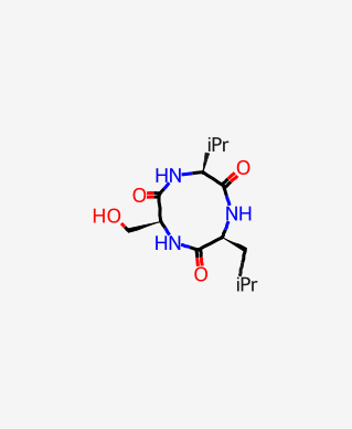 CC(C)C[C@@H]1NC(=O)[C@H](C(C)C)NC(=O)[C@H](CO)NC1=O